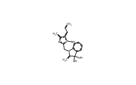 C=C/C=c1\c(=C)nc(CN2C(=C)C(CCC)(CCC)c3ccccc32)n1N